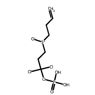 C=CCC[S+]([O-])CCC(Cl)(Cl)OP(=O)(O)O